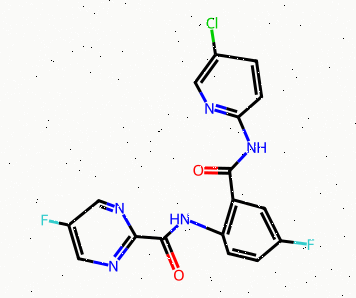 O=C(Nc1ccc(F)cc1C(=O)Nc1ccc(Cl)cn1)c1ncc(F)cn1